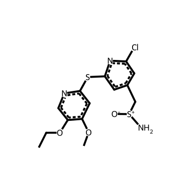 CCOc1cnc(Sc2cc(C[S+](N)[O-])cc(Cl)n2)cc1OC